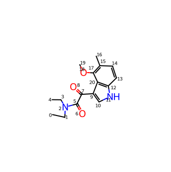 CCN(CC)C(=O)C(=O)c1c[nH]c2ccc(C)c(OC)c12